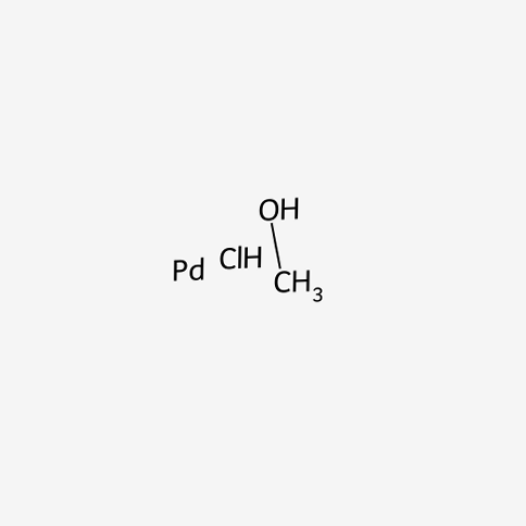 CO.Cl.[Pd]